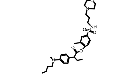 CCCCN(C)c1ccc(C(CC)C(=O)Oc2ccc(S(=O)(=O)NCCCN3CCOCC3)cc2C)cc1